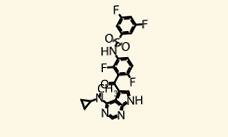 CN(c1ncnc2[nH]cc(C(=O)c3c(F)ccc(NS(=O)(=O)c4cc(F)cc(F)c4)c3F)c12)C1CC1